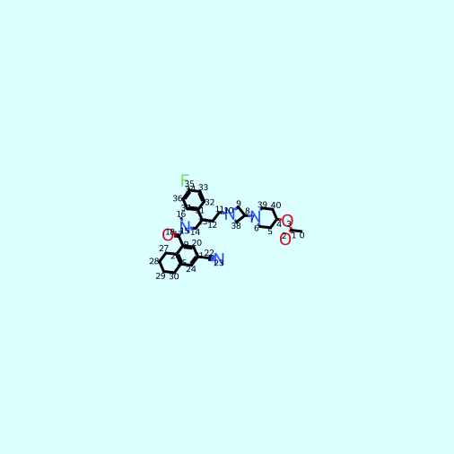 CC(=O)OC1CCN(C2CN(CCC(CN(C)C(=O)c3cc(C#N)cc4c3CCCC4)c3ccc(F)cc3)C2)CC1